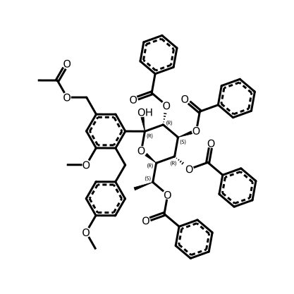 COc1ccc(Cc2c(OC)cc(COC(C)=O)cc2[C@@]2(O)O[C@H]([C@H](C)OC(=O)c3ccccc3)[C@@H](OC(=O)c3ccccc3)[C@H](OC(=O)c3ccccc3)[C@H]2OC(=O)c2ccccc2)cc1